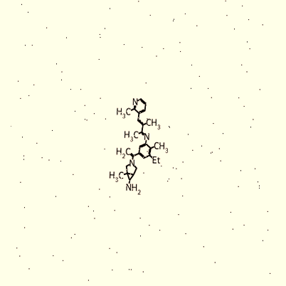 C=C(c1cc(CC)c(C)c(/N=C(C)/C(C)=C/c2cccnc2C)c1)N1CC2C(N)C2(C)C1